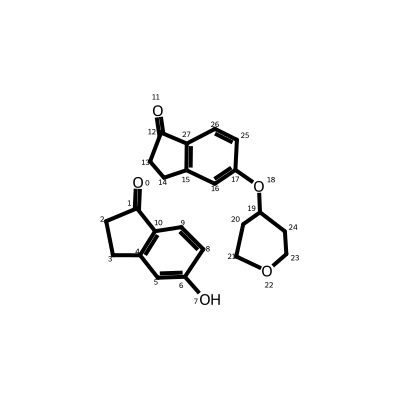 O=C1CCc2cc(O)ccc21.O=C1CCc2cc(OC3CCOCC3)ccc21